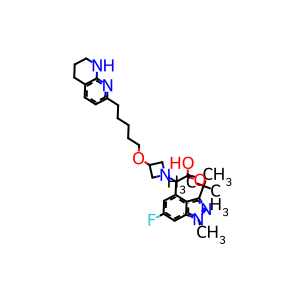 Cn1nc(C(C)(C)C)c2c(C(C(=O)O)N3CC(OCCCCCc4ccc5c(n4)NCCC5)C3)cc(F)cc21